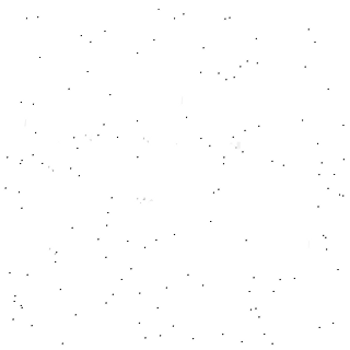 COc1ccncc1-c1nc(C(F)(F)F)n2c1CN(C(=O)CC(N)Cc1cc(F)c(F)cc1F)CC2.Cl